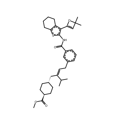 COC(=O)[C@H]1CC[C@H](C/C(=C/Cc2cccc(C(=O)Nc3sc4c(c3C3=CC(C)(C)O3)CCCC4)c2)C(C)C)CC1